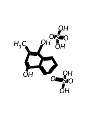 Cc1cc(O)c2ccccc2c1O.O=S(=O)(O)O.O=S(=O)(O)O